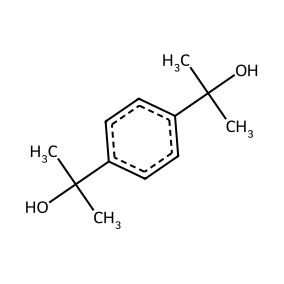 CC(C)(O)c1ccc(C(C)(C)O)cc1